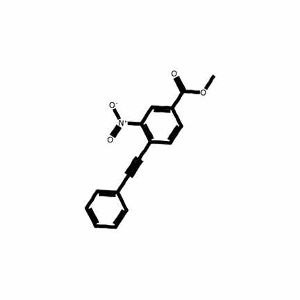 COC(=O)c1ccc(C#Cc2ccccc2)c([N+](=O)[O-])c1